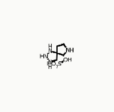 C1CC2(CN1)CNNN2.O=S(=O)(O)O